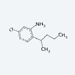 CCCC(C)c1ccc(Cl)cc1N